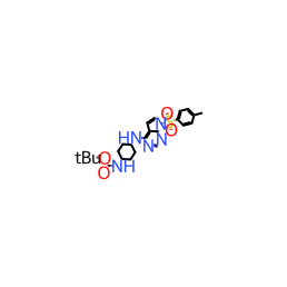 Cc1ccc(S(=O)(=O)n2ccc3c(NC4CCC(NC(=O)OC(C)(C)C)CC4)ncnc32)cc1